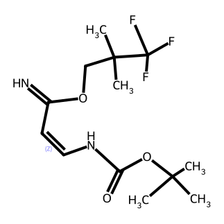 CC(C)(C)OC(=O)N/C=C\C(=N)OCC(C)(C)C(F)(F)F